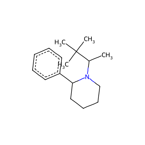 CC(N1CCCCC1c1ccccc1)C(C)(C)C